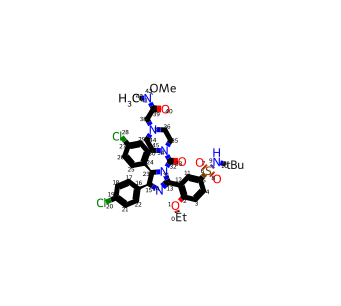 CCOc1ccc(S(=O)(=O)NC(C)(C)C)cc1C1=N[C@@H](c2ccc(Cl)cc2)[C@@H](c2ccc(Cl)cc2)N1C(=O)N1CCN(CC(=O)N(C)OC)CC1